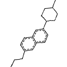 CCCc1ccc2cc(C3CCC(C)CC3)ccc2c1